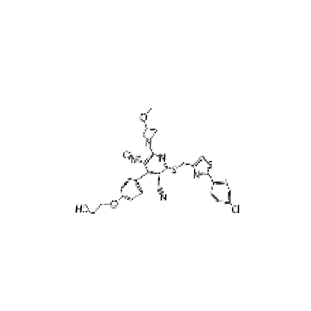 [C-]#[N+]c1c(N2CC(OC)C2)nc(SCc2csc(-c3ccc(Cl)cc3)n2)c(C#N)c1-c1ccc(OCCO)cc1